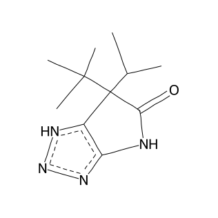 CC(C)C1(C(C)(C)C)C(=O)Nc2nn[nH]c21